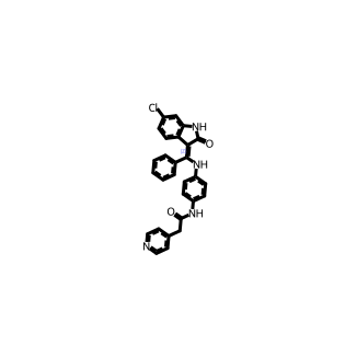 O=C(Cc1ccncc1)Nc1ccc(N/C(=C2\C(=O)Nc3cc(Cl)ccc32)c2ccccc2)cc1